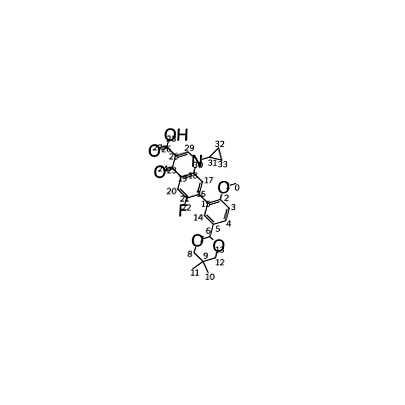 COc1ccc(C2OCC(C)(C)CO2)cc1-c1cc2c(cc1F)c(=O)c(C(=O)O)cn2C1CC1